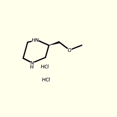 COC[C@H]1CNCCN1.Cl.Cl